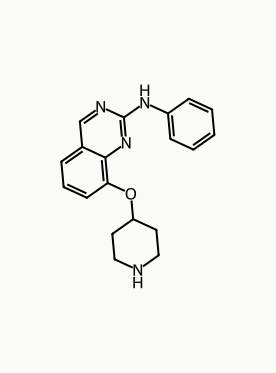 c1ccc(Nc2ncc3cccc(OC4CCNCC4)c3n2)cc1